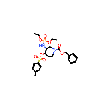 CCOP(=O)(NC1CN(C(=O)OCc2ccccc2)CCC1OS(=O)(=O)c1ccc(C)cc1)OCC